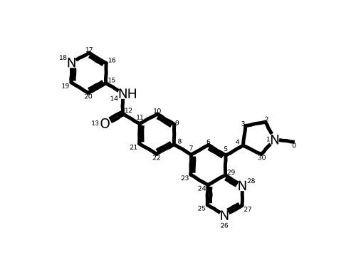 CN1CCC(c2cc(-c3ccc(C(=O)Nc4ccncc4)cc3)cc3cncnc23)C1